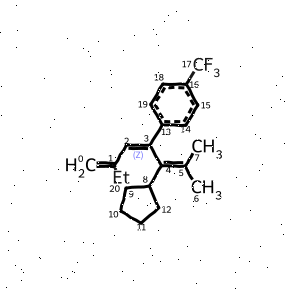 C=C(/C=C(\C(=C(C)C)C1CCCC1)c1ccc(C(F)(F)F)cc1)CC